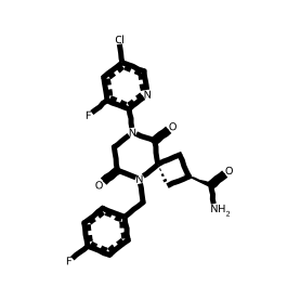 NC(=O)[C@H]1C[C@@]2(C1)C(=O)N(c1ncc(Cl)cc1F)CC(=O)N2Cc1ccc(F)cc1